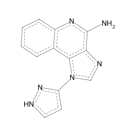 Nc1nc2ccccc2c2c1ncn2-c1cc[nH]n1